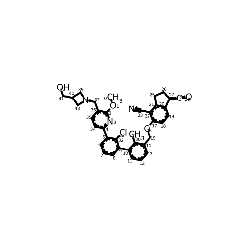 COc1nc(-c2cccc(-c3cccc(COc4ccc5c(c4C#N)CCC5=C=O)c3C)c2Cl)ccc1CN1CC(CO)C1